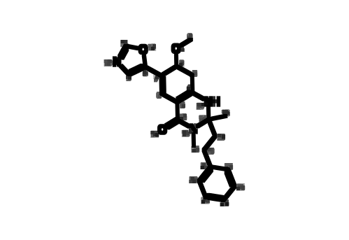 COC1CC2=C(C=C1c1cnco1)C(=O)N(C)C(C)(CCc1ccccc1)N2